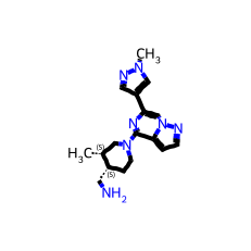 C[C@@H]1CN(c2nc(-c3cnn(C)c3)cn3nccc23)CC[C@@H]1CN